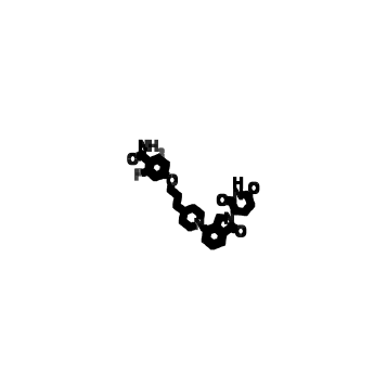 NC(=O)c1ccc(OCCCC2CCN(c3cccc4c3CN(C3CCC(=O)NC3=O)C4=O)CC2)cc1F